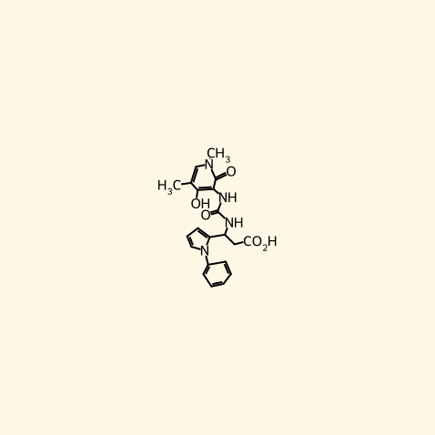 Cc1cn(C)c(=O)c(NC(=O)NC(CC(=O)O)c2cccn2-c2ccccc2)c1O